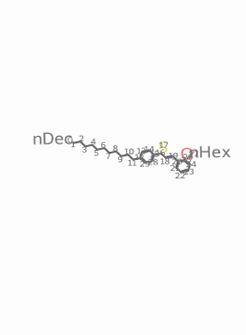 CCCCCCCCCCCCCCCCCCCCCc1ccc(C(=S)C=Cc2ccccc2OCCCCCC)cc1